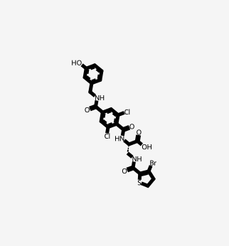 O=C(NC[C@H](NC(=O)c1c(Cl)cc(C(=O)NCc2cccc(O)c2)cc1Cl)C(=O)O)C1=C(Br)CCS1